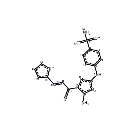 Nc1nc(Nc2ccc(S(N)(=O)=O)cc2)nn1C(=O)/C=C/c1cccs1